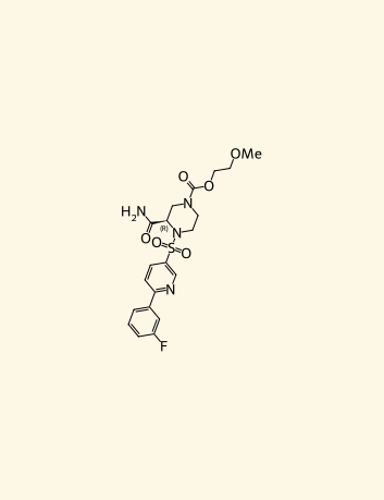 COCCOC(=O)N1CCN(S(=O)(=O)c2ccc(-c3cccc(F)c3)nc2)[C@@H](C(N)=O)C1